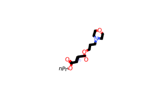 CCCOC(=O)/C=C/C(=O)OCCCN1CCOCC1